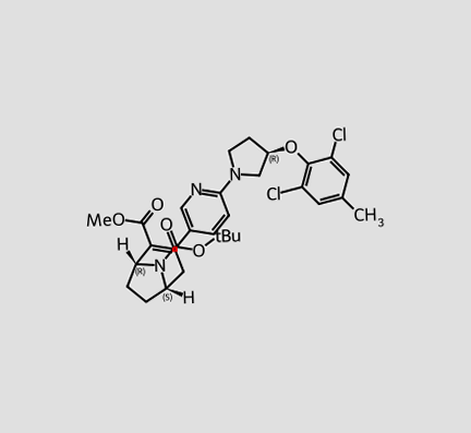 COC(=O)C1=C(c2ccc(N3CC[C@@H](Oc4c(Cl)cc(C)cc4Cl)C3)nc2)C[C@@H]2CC[C@H]1N2C(=O)OC(C)(C)C